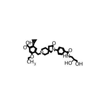 CCOc1cc(C(=O)O)c(C2CC2)cc1CN1CCC2(CC1)CC(=O)N(c1ccc(C(=O)NC[C@H](O)CO)cc1)C2